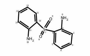 Nc1ccccc1S(=O)(=O)c1ccccc1N